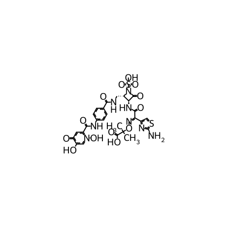 CC(C)(ON=C(C(=O)N[C@@H]1C(=O)N(S(=O)(=O)O)[C@H]1CNC(=O)c1ccc(NC(=O)c2cc(=O)c(O)cn2O)cc1)c1csc(N)n1)C(=O)O